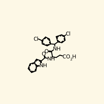 O=C(O)CCC(NC(=O)c1cc2ccccc2[nH]1)C(=O)NC(c1ccc(Cl)cc1)c1ccc(Cl)cc1